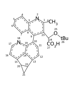 Cc1nc2ccccc2c(-c2ccc3c4c(ccnc24)C2CC32)c1C(OC(C)(C)C)C(=O)O